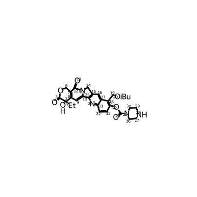 CC[C@@]1(O)C(=O)OCc2c1cc1n(c2=O)Cc2cc3c(COCC(C)C)c(OC(=O)N4CCNCC4)ccc3nc2-1